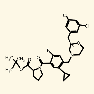 CC(C)(C)OC(=O)C1CCCN1C(=O)c1cc(C2CC2)c(CN2CCO[C@H](Cc3cc(Cl)cc(Cl)c3)C2)cc1F